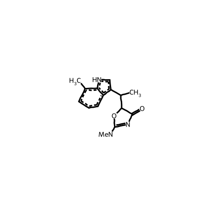 CNC1=NC(=O)C(C(C)c2c[nH]c3c(C)cccc23)O1